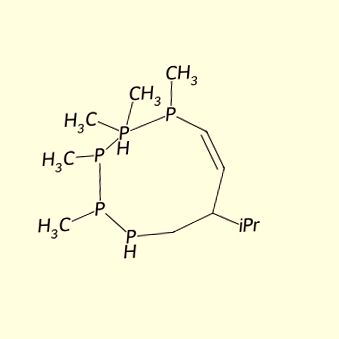 CC(C)C1C=CP(C)[PH](C)(C)P(C)P(C)PC1